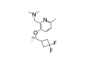 Cc1ccc(O[C@@H](C)C2CC(F)(F)C2)c(CN(C)C)n1